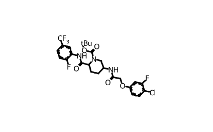 CC(C)(C)OC(=O)N1CC(NC(=O)COc2ccc(Cl)c(F)c2)CCC1C(=O)Nc1cc(C(F)(F)F)ccc1F